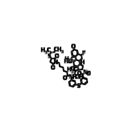 CCC(C)SC1CC(=O)N(CCCCCC(=O)Nc2cccc(Sc3cccc([C@H](N=O)O[C@]4(C(=O)CO)CCC5[C@@H]6C[C@H](F)C7=CC(=O)C=C[C@]7(C)C6[C@@H](O)C[C@@]54C)c3)c2)C1=O